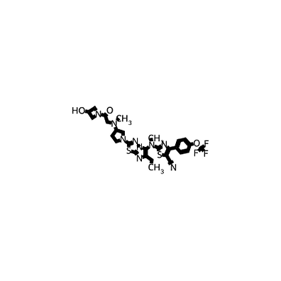 CCc1nc2sc(N3CCC(N(C)CC(=O)N4CC(O)C4)C3)nn2c1N(C)c1nc(-c2ccc(OC(F)(F)F)cc2)c(C#N)s1